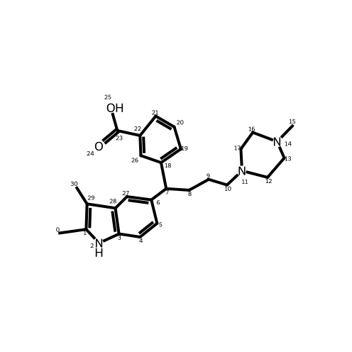 Cc1[nH]c2ccc(C(CCCN3CCN(C)CC3)c3cccc(C(=O)O)c3)cc2c1C